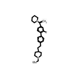 C=C(c1ccc(-c2ccc(CCC3CCN(CC(C)(C)C)CC3)cc2)c(F)c1)N1CCCCC1